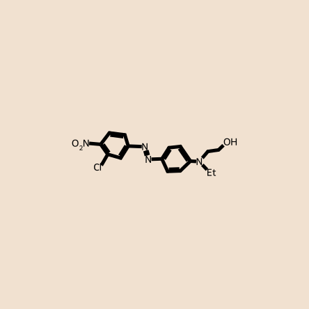 CCN(CCO)c1ccc(N=Nc2ccc([N+](=O)[O-])c(Cl)c2)cc1